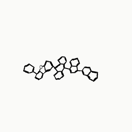 c1ccc(-c2cccc3c2oc2ccc(-c4c5ccccc5c(-c5ccc(-c6ccc7ccccc7c6)c6ccccc56)c5ccccc45)cc23)cc1